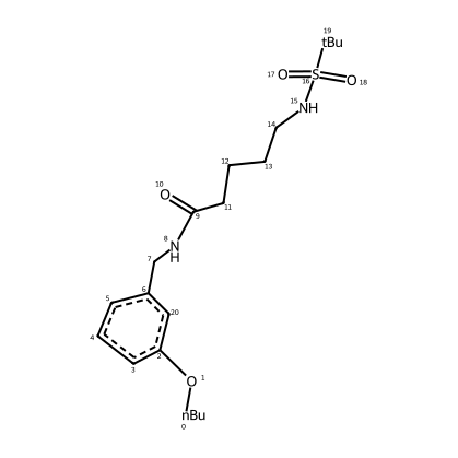 CCCCOc1cccc(CNC(=O)CCCCNS(=O)(=O)C(C)(C)C)c1